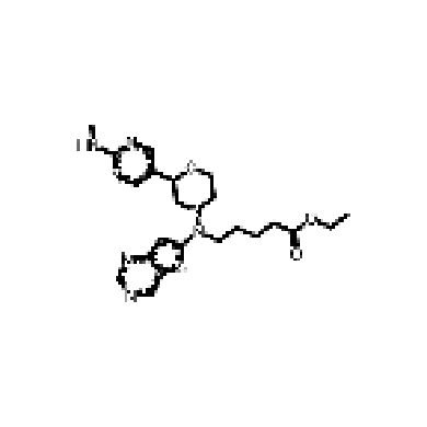 CCOC(=O)CCCCN(c1cc2ncncc2s1)N1CCOC(c2cnc(NC)nc2)C1